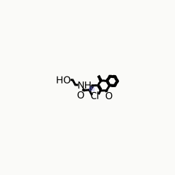 C=C1C(/C=C(\C)C(=O)NCCO)=C(Cl)C(=O)c2ccccc21